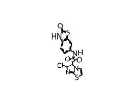 O=c1[nH]c2ccc(NS(=O)(=O)C3C(Cl)N=C4SC=CN43)cc2s1